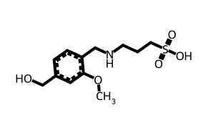 COc1cc(CO)ccc1CNCCCS(=O)(=O)O